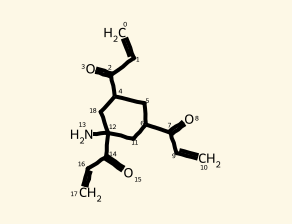 C=CC(=O)C1CC(C(=O)C=C)CC(N)(C(=O)C=C)C1